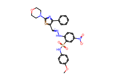 COc1ccc(NS(=O)(=O)c2cc([N+](=O)[O-])ccc2N/N=C/c2sc(N3CCOCC3)nc2-c2ccccc2)cc1